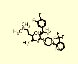 C=C(/N=C(\C=C(/N)c1ccc(F)c(F)c1)N1CCN(c2ncccc2C(F)(F)F)CC1)C(O)CCN(C)C